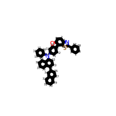 c1ccc(-c2nc3ccc4oc5cc(N(c6ccccc6)c6ccc(-c7ccc8ccccc8c7)c7ccccc67)ccc5c4c3s2)cc1